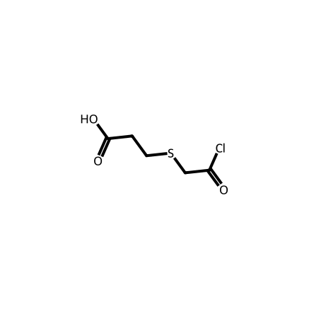 O=C(O)CCSCC(=O)Cl